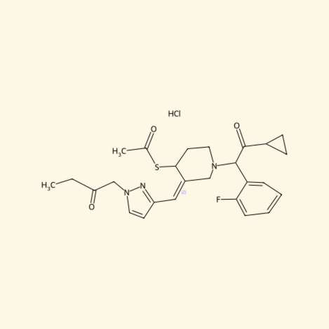 CCC(=O)Cn1ccc(/C=C2/CN(C(C(=O)C3CC3)c3ccccc3F)CCC2SC(C)=O)n1.Cl